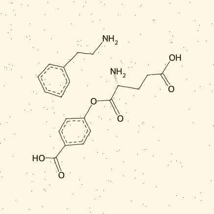 NCCc1ccccc1.N[C@H](CCC(=O)O)C(=O)Oc1ccc(C(=O)O)cc1